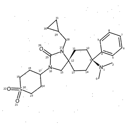 CN(C)[C@]1(c2ccccc2)CC[C@@]2(CC1)CN(C1CCS(=O)(=O)CC1)C(=O)N2CC1CC1